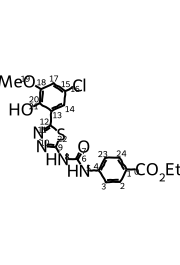 CCOC(=O)c1ccc(NC(=O)Nc2nnc(-c3cc(Cl)cc(OC)c3O)s2)cc1